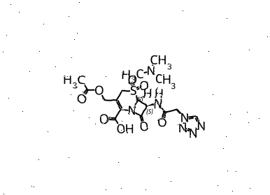 CC(=O)OCC1=C(C(=O)O)N2C(=O)[C@H](NC(=O)Cn3cnnn3)[C@@H]2S(=O)(=O)C1.CN(C)C